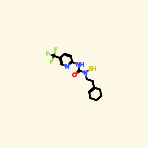 O=C(Nc1ccc(C(F)(F)F)cn1)N(S)CCC1=CCCCC1